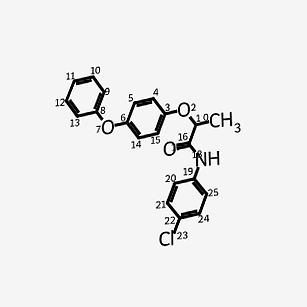 CC(Oc1ccc(Oc2ccccc2)cc1)C(=O)Nc1ccc(Cl)cc1